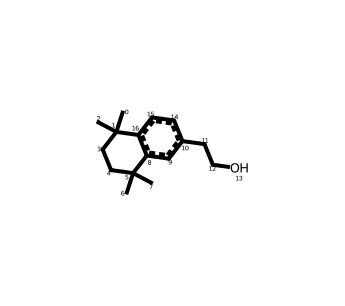 CC1(C)CCC(C)(C)c2cc(CCO)ccc21